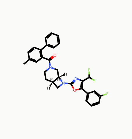 Cc1ccc(-c2ccccc2)c(C(=O)N2CC[C@H]3CN(c4nc(C(F)F)c(-c5cccc(F)c5)o4)[C@H]3C2)c1